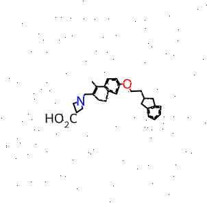 CC1=C(CN2CC(C(=O)O)C2)CCc2cc(OCCC3Cc4ccccc4C3)ccc21